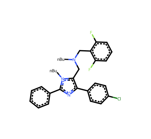 CCCCN(Cc1c(F)cccc1F)Cc1c(-c2ccc(Cl)cc2)nc(-c2ccccc2)n1CCCC